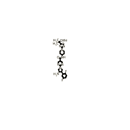 COC(C)(C)c1nc(N2CCC(NC(=O)c3cnc(N4CC(c5cc(F)ccc5F)[C@@H](N)C4)nc3)CC2)no1